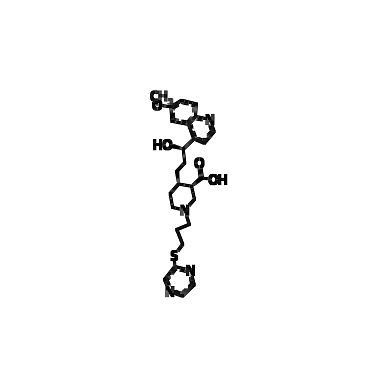 COc1ccc2nccc([C@H](O)CC[C@@H]3CCN(CCCSc4cnccn4)C[C@@H]3C(=O)O)c2c1